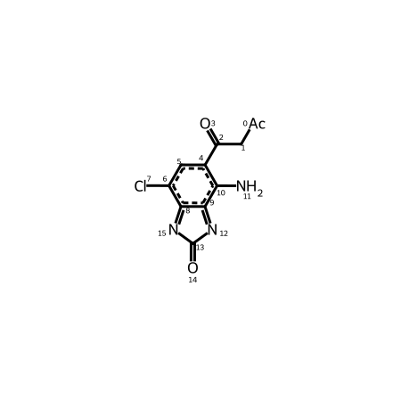 CC(=O)CC(=O)c1cc(Cl)c2c(c1N)=NC(=O)N=2